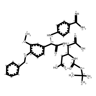 COc1cc([C@H](Nc2ccc(C(=N)N)cc2)C(=O)N[C@H](C(=O)O)C(CC(=O)O)NC(=O)OC(C)(C)C)ccc1OCc1ccccc1